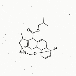 CC(C)COC(=O)C1C2=CCC3C4CC=C[C@H]3CCN[N@+]3(C)CC(C)C1=C3CC24